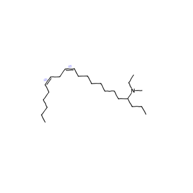 CCCCC/C=C\C/C=C\CCCCCCCC(CCC)N(C)CC